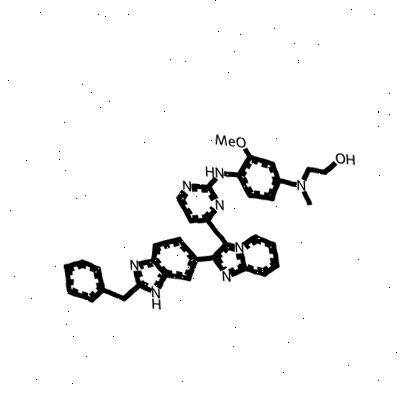 COc1cc(N(C)CCO)ccc1Nc1nccc(-c2c(-c3ccc4nc(Cc5ccccc5)[nH]c4c3)nc3ccccn23)n1